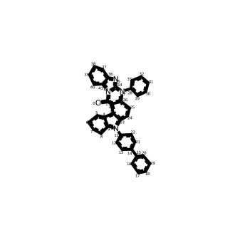 O=c1c2c3c4ccccc4n(-c4ccc(-c5ccccc5)cc4)c3ccc2n(-c2ccccc2)c2nc3ccccc3n12